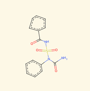 NC(=O)N(c1ccccc1)S(=O)(=O)NC(=O)c1ccccc1